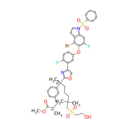 COC(=O)[C@@H](C)Cc1cccc([C@@](C)(CCCC(C)(C)CS(=O)(=O)CCO)c2nc(-c3cc(Oc4c(F)cc5c(ccn5S(=O)(=O)c5ccccc5)c4Br)ccc3F)co2)c1